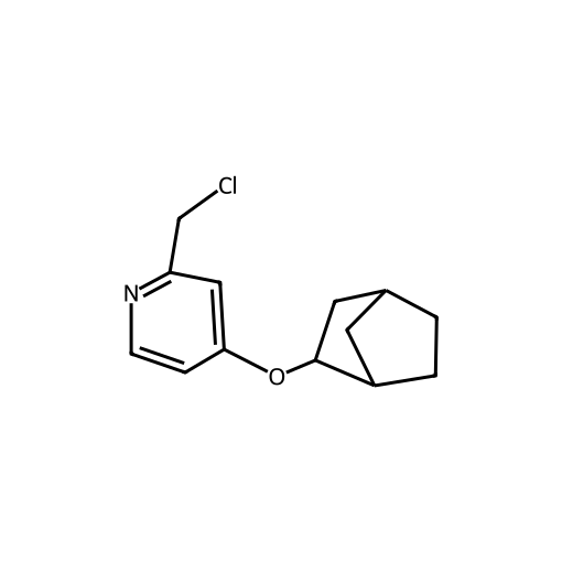 ClCc1cc(OC2CC3CCC2C3)ccn1